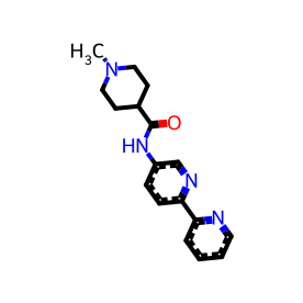 CN1CCC(C(=O)Nc2ccc(-c3ccccn3)nc2)CC1